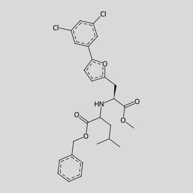 COC(=O)[C@H](Cc1ccc(-c2cc(Cl)cc(Cl)c2)o1)NC(CC(C)C)C(=O)OCc1ccccc1